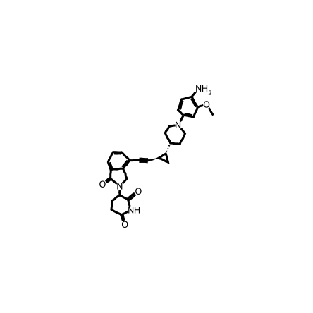 COc1cc(N2CCC([C@@H]3C[C@H]3C#Cc3cccc4c3CN(C3CCC(=O)NC3=O)C4=O)CC2)ccc1N